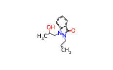 C=CCn1c(=O)c2ccccc2n1CC(C)O